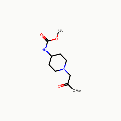 COC(=O)CN1CCC(NC(=O)OC(C)(C)C)CC1